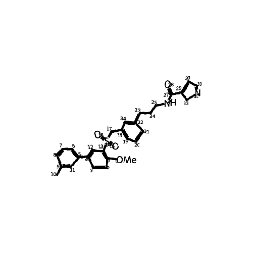 COc1ccc(-c2cccc(C)c2)cc1S(=O)(=O)Cc1cccc(CCCNC(=O)C2=CC=NC2)c1